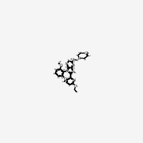 CCOc1cccc(-c2nc3nc(NSN4CCOCC4)cnc3n2-c2c(OC)cccc2OC)n1